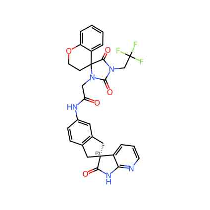 O=C(CN1C(=O)N(CC(F)(F)F)C(=O)C12CCOc1ccccc12)Nc1ccc2c(c1)C[C@@]1(C2)C(=O)Nc2ncccc21